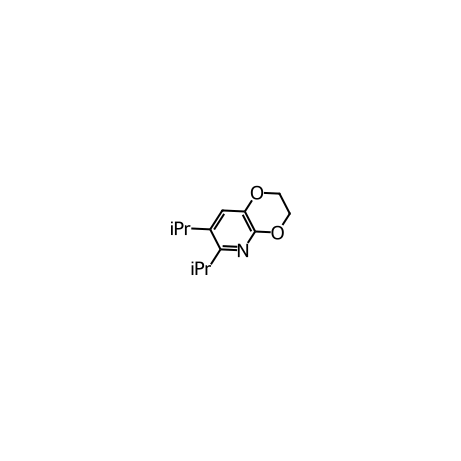 CC(C)c1cc2c(nc1C(C)C)OCCO2